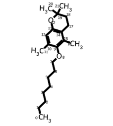 CCCCCCCCOc1c(C)cc2c(c1C)CCC(C)(C)O2